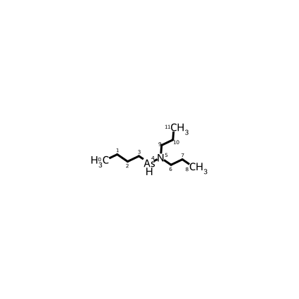 CCCC[AsH]N(CCC)CCC